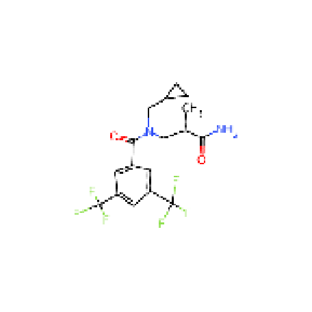 CC(CN(CC1CC1)C(=O)c1cc(C(F)(F)F)cc(C(F)(F)F)c1)C(N)=O